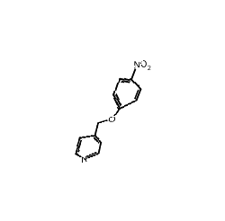 O=[N+]([O-])c1ccc(OCc2ccncc2)cc1